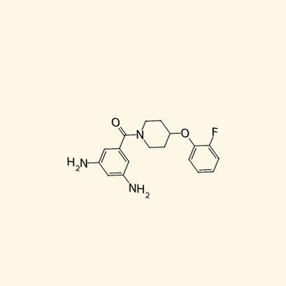 Nc1cc(N)cc(C(=O)N2CCC(Oc3ccccc3F)CC2)c1